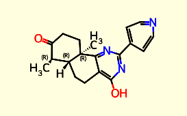 C[C@H]1C(=O)CC[C@@]2(C)c3nc(-c4ccncc4)nc(O)c3CC[C@H]12